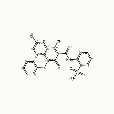 NS(=O)(=O)c1ccccc1NC(=O)c1c(O)c2cc(Cl)cnc2n(Cc2ccccc2)c1=O